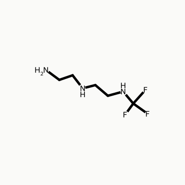 NCCNCCNC(F)(F)F